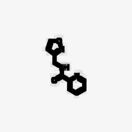 O=C(NCc1ccon1)c1ccccn1